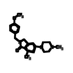 CN1CCN(c2cc3c(c(C(F)(F)F)c2)C(=O)N(Cc2ccc(OC(F)(F)F)cc2)C3)CC1